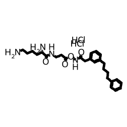 Cl.Cl.NCCCC[C@H](N)C(=O)NCCC(=O)ONC(=O)Cc1cccc(CCCCc2ccccc2)c1